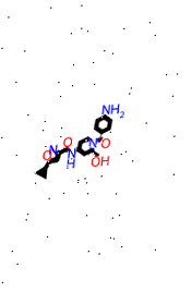 N[C@H]1CC[C@H](C(=O)N2CC[C@@H](NC(=O)c3cc(C4CC4)on3)C[C@@H]2CO)CC1